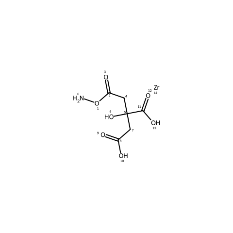 NOC(=O)CC(O)(CC(=O)O)C(=O)O.[Zr]